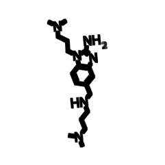 CN(C)CCCNCc1ccc2c(c1)nc(N)n2CCCN(C)C